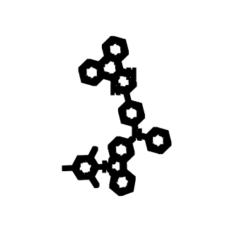 Cc1cc(C)c(-n2c3ccccc3c3cc(N(c4ccccc4)c4ccc(-c5cnc6c7ccccc7c7ccccc7c6n5)cc4)ccc32)c(C)c1